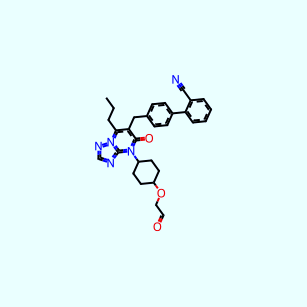 CCCc1c(Cc2ccc(-c3ccccc3C#N)cc2)c(=O)n(C2CCC(OCC=O)CC2)c2ncnn12